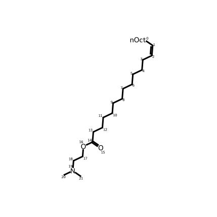 CCCCCCCC/C=C\CCCCCCCCCCCC(=O)OCCN(C)C